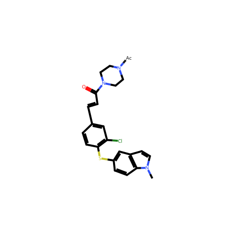 CC(=O)N1CCN(C(=O)C=Cc2ccc(Sc3ccc4c(ccn4C)c3)c(Cl)c2)CC1